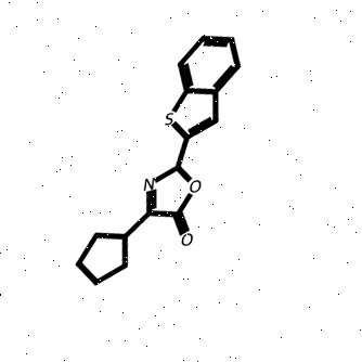 O=C1OC(c2cc3ccccc3s2)N=C1C1CCCC1